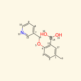 Cc1ccc(OCc2cccnc2)c(B(O)O)c1